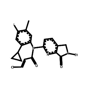 CCN1Cc2ccc(N(C(=O)/C=C/Cl)c3cc(C)c(I)cc3C3CC3)nc2C1=O